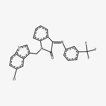 O=C1/C(=N\c2cccc(C(F)(F)F)c2)c2ccccc2N1Cc1csc2ccc(Cl)cc12